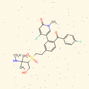 Cn1cc(-c2cc(CCS(=O)(=O)C(CO)C(C)(C)NC(=O)O)ccc2C(=O)c2ccc(F)cc2)c(F)cc1=O